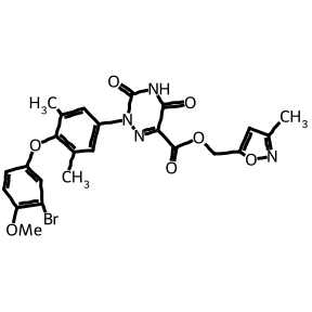 COc1ccc(Oc2c(C)cc(-n3nc(C(=O)OCc4cc(C)no4)c(=O)[nH]c3=O)cc2C)cc1Br